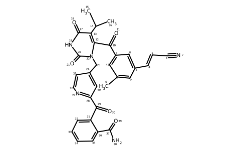 Cc1cc(/C=C/C#N)cc(C(=O)c2c(C(C)C)c(=O)[nH]c(=O)n2Cc2ccnc(C(=O)c3ccccc3C(N)=O)c2)c1